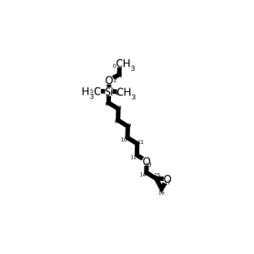 CCO[Si](C)(C)CCCCCCCOCC1CO1